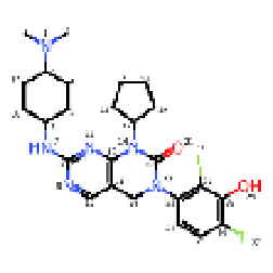 CN(C)C1CCC(Nc2ncc3c(n2)N(C2CCCC2)C(=O)N(c2ccc(F)c(O)c2F)C3)CC1